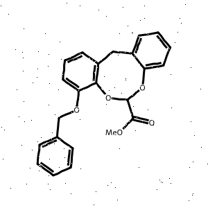 COC(=O)C1Oc2ccccc2Cc2cccc(OCc3ccccc3)c2O1